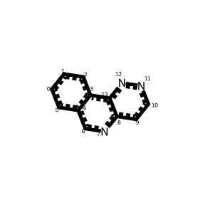 c1ccc2c(c1)cnc1ccnnc12